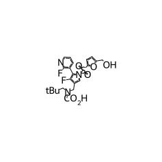 CC(C)(C)CN(Cc1cn(S(=O)(=O)c2ccc(CO)o2)c(-c2cccnc2F)c1F)C(=O)O